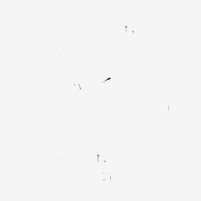 CCN(C(=O)[C@H]1C[C@H](C)N(C(=O)c2ccncc2)c2ccccc21)c1ccc(Cl)cc1